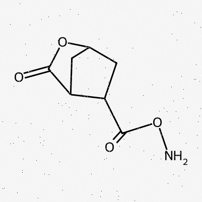 NOC(=O)C1CC2CC1C(=O)O2